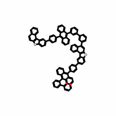 c1ccc(-c2ccccc2-c2c3ccccc3c(-c3ccc(-c4ccc5oc6cc(-c7cccc(-c8cccc(-c9c%10ccccc%10c(-c%10ccc(-c%11ccc%12oc%13ccc%14ccccc%14c%13c%12c%11)cc%10)c%10ccccc9%10)c8)c7)c7ccccc7c6c5c4)cc3)c3ccccc23)cc1